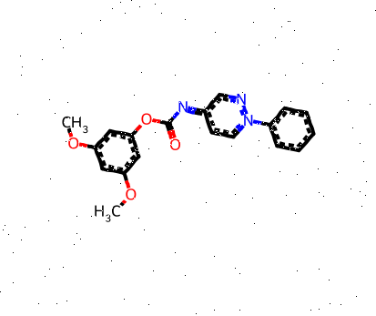 COc1cc(OC)cc(OC(=O)/N=c2\ccn(-c3ccccc3)nc2)c1